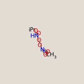 CC(C)OCC(=O)NCCOCCOCCN1CCN(S(C)(=O)=O)CC1